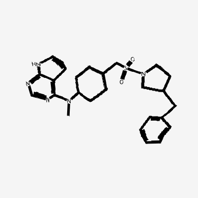 CN(c1ncnc2[nH]ccc12)C1CCC(CS(=O)(=O)N2CCC(Cc3ccccc3)C2)CC1